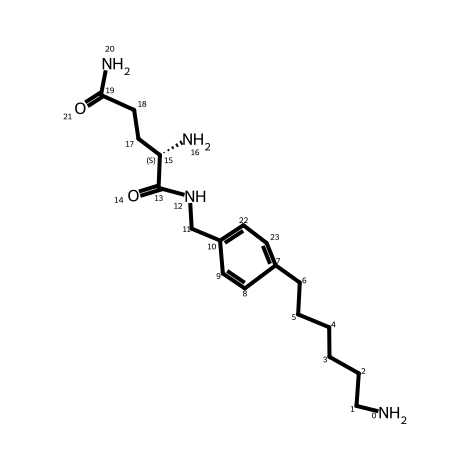 NCCCCCCc1ccc(CNC(=O)[C@@H](N)CCC(N)=O)cc1